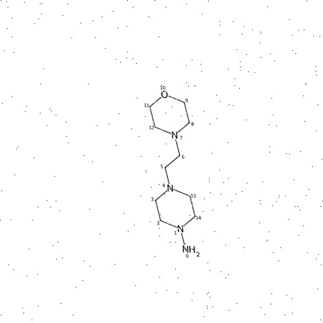 NN1CCN(CCN2CCOCC2)CC1